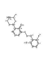 CC1CN(c2nccn(CCOc3c(F)cccc3F)c2=O)CCN1